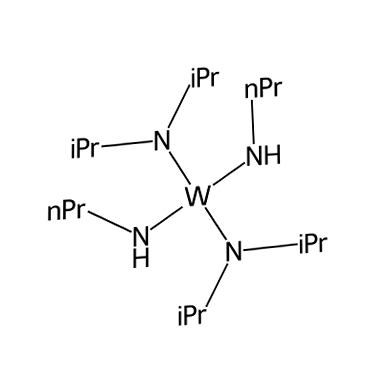 CCC[NH][W]([NH]CCC)([N](C(C)C)C(C)C)[N](C(C)C)C(C)C